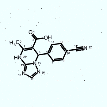 CC1=C(C(=O)O)C(c2ccc(C#N)cc2)n2ncnc2N1